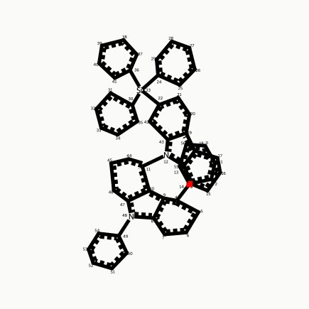 c1ccc(-c2cccc3c2c2c(-n4c5ccccc5c5ccc([Si](c6ccccc6)(c6ccccc6)c6ccccc6)cc54)cccc2n3-c2ccccc2)cc1